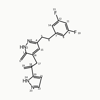 C=C1NN=C(CCc2cc(F)cc(F)c2)C=C1CC(=C)c1ccn[nH]1